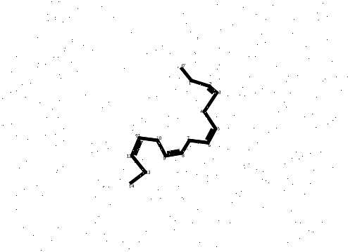 [CH2]C/C=C\C/C=C\C/C=C\C/C=C\CC